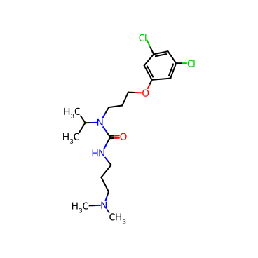 CC(C)N(CCCOc1cc(Cl)cc(Cl)c1)C(=O)NCCCN(C)C